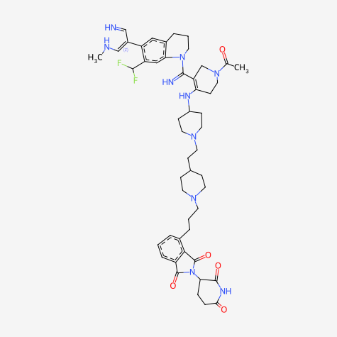 CN/C=C(\C=N)c1cc2c(cc1C(F)F)N(C(=N)C1=C(NC3CCN(CCC4CCN(CCCc5cccc6c5C(=O)N(C5CCC(=O)NC5=O)C6=O)CC4)CC3)CCN(C(C)=O)C1)CCC2